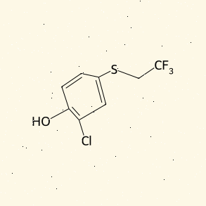 Oc1ccc(SCC(F)(F)F)cc1Cl